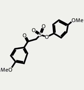 COc1ccc(OS(=O)(=O)CC(=O)c2ccc(OC)cc2)cc1